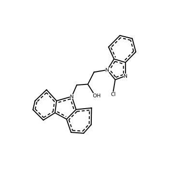 OC(Cn1c(Cl)nc2ccccc21)Cn1c2ccccc2c2ccccc21